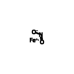 O=N[O-].[Fe+]